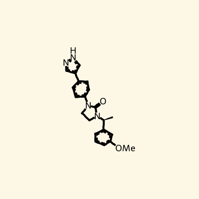 COc1cccc([C@H](C)N2CCN(c3ccc(-c4cn[nH]c4)cc3)C2=O)c1